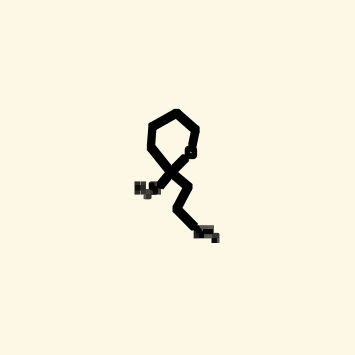 NCCC1([SiH3])CCCCO1